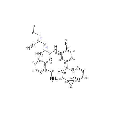 CC/C=C(C#N)/C=C(\Nc1cccc(CN)c1)C(=O)Nc1cc(C(NCC2CC2)c2ccccc2)ccc1F